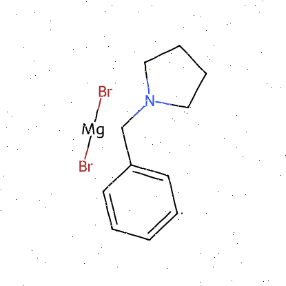 [Br][Mg][Br].[c]1cccc(CN2CCCC2)c1